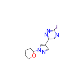 Ic1ncc(-c2cnn(C3CCCCO3)c2)nn1